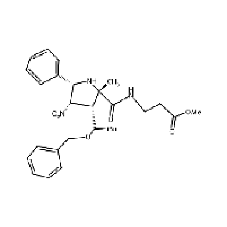 CC[C@H](C)C(OCc1ccccc1)[C@@H]1[C@H]([N+](=O)[O-])[C@H](c2ccccc2)N[C@]1(C)C(=O)NCCC(=O)OC